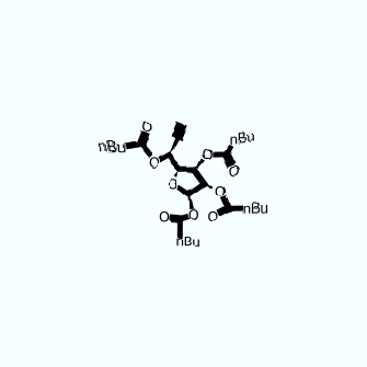 C#C[C@H](OC(=O)CCCC)[C@H]1O[C@H](OC(=O)CCCC)[C@@H](OC(=O)CCCC)[C@@H]1OC(=O)CCCC